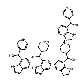 OC(c1cccc2c1NCC2)C1CCNCC1.OC(c1cccc2cc[nH]c12)C1CCNCC1.OC(c1ccncc1)c1cccc2c1NCC2.OC(c1ccncc1)c1cccc2cc[nH]c12